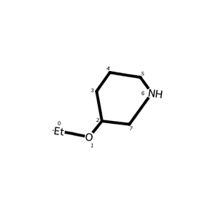 C[CH]OC1CCCNC1